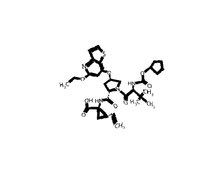 C=C[C@@H]1C[C@]1(NC(=O)[C@@H]1C[C@@H](Oc2cc(OCC)nc3ccsc23)CN1C(=O)[C@@H](NC(=O)OC1CCCC1)C(C)(C)C)C(=O)O